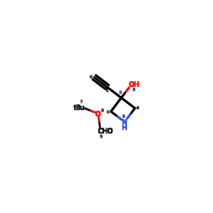 C#CC1(O)CNC1.CC(C)(C)OC=O